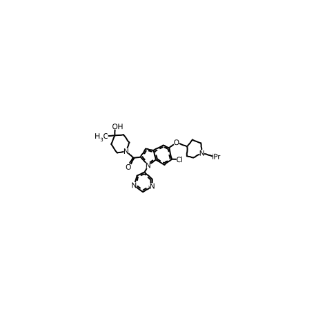 CC(C)N1CCC(Oc2cc3cc(C(=O)N4CCC(C)(O)CC4)n(-c4cncnc4)c3cc2Cl)CC1